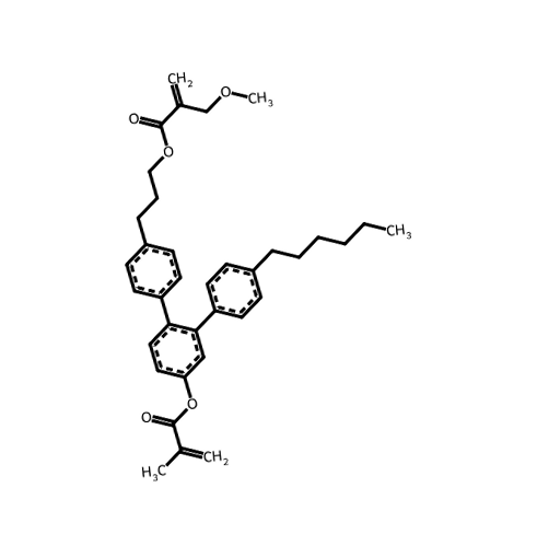 C=C(C)C(=O)Oc1ccc(-c2ccc(CCCOC(=O)C(=C)COC)cc2)c(-c2ccc(CCCCCC)cc2)c1